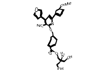 COc1cccc(-c2cc(-c3ccoc3)c(C#N)c(OCc3ccc(C(=O)OCC(N)(CO)CO)cc3)n2)c1